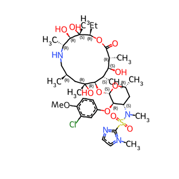 CC[C@H]1OC(=O)[C@H](C)[C@@H](O)[C@H](C)[C@@H](O[C@@H]2O[C@H](C)C[C@H](N(C)S(=O)(=O)c3nccn3C)[C@H]2Oc2ccc(OC)c(Cl)c2)[C@](C)(O)C[C@@H](C)CN[C@H](C)[C@@H](O)[C@]1(C)O